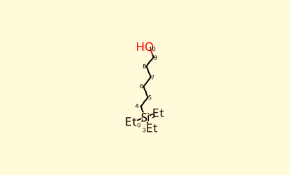 CC[Si](CC)(CC)CCCCCCO